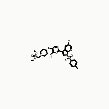 COP(=O)(CN1CCC[C@H](Nc2nc(-c3cn(S(=O)(=O)c4ccc(C)cc4)c4ncc(Cl)cc34)ncc2F)C1)OC